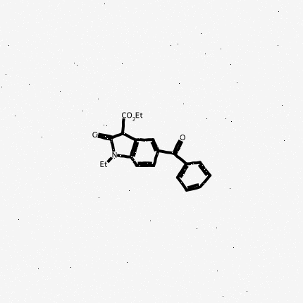 CCOC(=O)C1C(=O)N(CC)c2ccc(C(=O)c3ccccc3)cc21